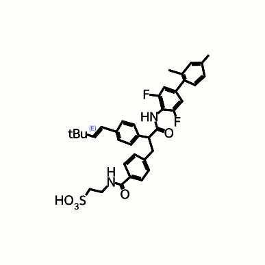 Cc1ccc(-c2cc(F)c(NC(=O)C(Cc3ccc(C(=O)NCCS(=O)(=O)O)cc3)c3ccc(/C=C/C(C)(C)C)cc3)c(F)c2)c(C)c1